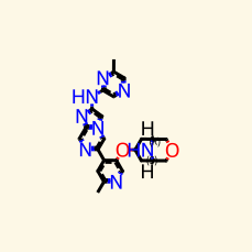 Cc1cc(-c2cn3cc(Nc4cncc(C)n4)nc3cn2)c(OC2C[C@H]3COC[C@@H](C2)N3)cn1